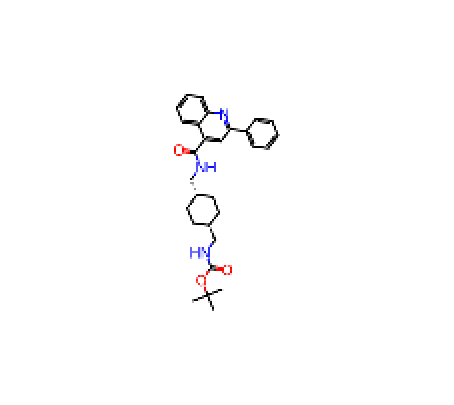 CC(C)(C)OC(=O)NC[C@H]1CC[C@H](CNC(=O)c2cc(-c3ccccc3)nc3ccccc23)CC1